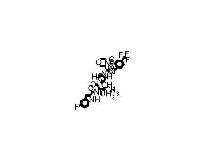 CC(C)(C)[C@H](NC(=O)c1cc2cc(F)ccc2[nH]1)C(=O)N1C[C@@H]2C[C@H]1CN2C(=O)[C@H]1COCCN1S(=O)(=O)c1cc(C(F)(F)F)ccc1Cl